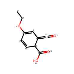 CCOC1=CC(=C=O)C(C(=O)O)C=C1